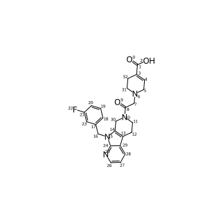 O=C(O)C1=CCN(CC(=O)N2CCc3c(n(Cc4cccc(F)c4)c4ncccc34)C2)CC1